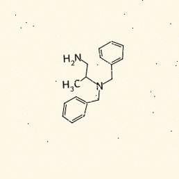 CC(CN)N(Cc1ccccc1)Cc1ccccc1